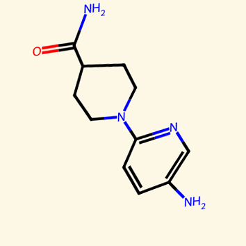 NC(=O)C1CCN(c2ccc(N)cn2)CC1